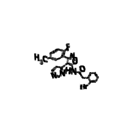 Cc1ccc(F)c(-c2noc(NC(=O)Cc3ccccc3Br)c2-c2ccncn2)c1